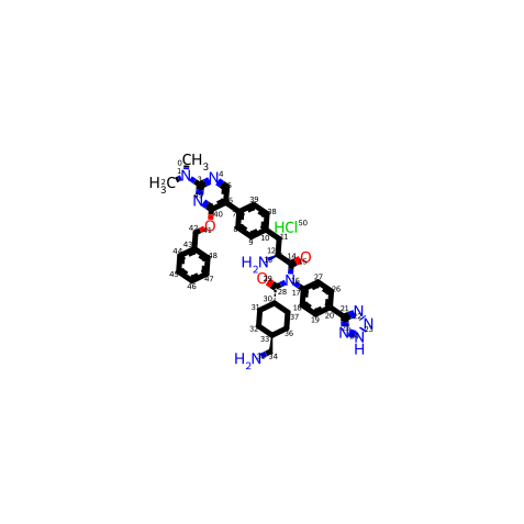 CN(C)c1ncc(-c2ccc(C[C@H](N)C(=O)N(c3ccc(-c4nn[nH]n4)cc3)C(=O)[C@H]3CC[C@H](CN)CC3)cc2)c(OCc2ccccc2)n1.Cl